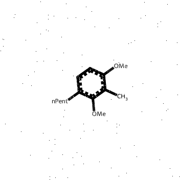 CCCCCc1ccc(OC)c(C)c1OC